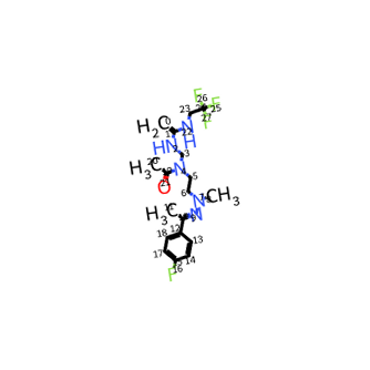 C=C(NCN(CCN(C)/N=C(\C)c1ccc(F)cc1)C(C)=O)NCC(F)(F)F